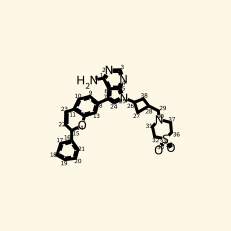 Nc1ncnc2c1c(-c1ccc3c(c1)OC(c1ccccc1)C=C3)cn2C1CC(CN2CCS(=O)(=O)CC2)C1